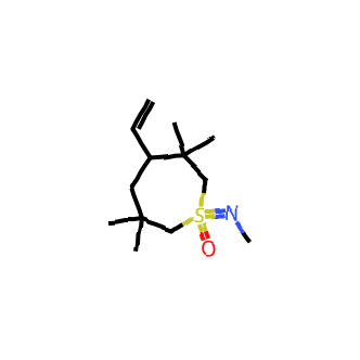 C=CC1CC(C)(C)CS(=O)(=NC)CC1(C)C